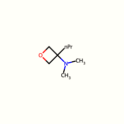 CCCC1(N(C)C)COC1